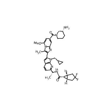 COc1cc(C(=O)N2CCC[C@@H](N)C2)cc2nc(-c3cc4ccc([C@@H](C)NC(=O)[C@H]5[C@@H]6CC(F)(F)C[C@@H]65)nc4n3CC3CC3)c(C)n12